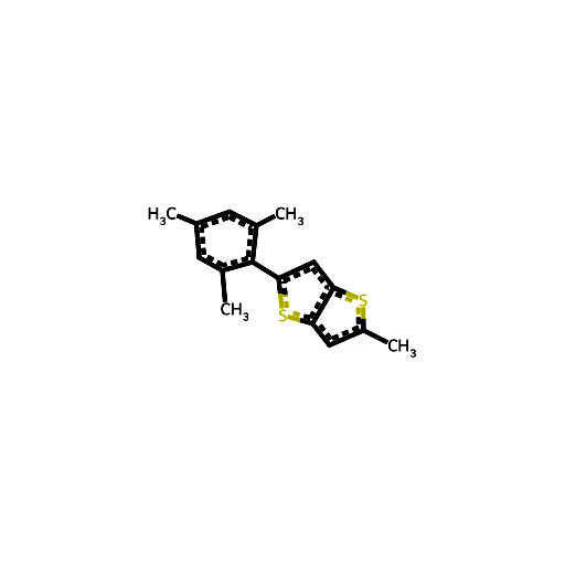 Cc1cc(C)c(-c2cc3sc(C)cc3s2)c(C)c1